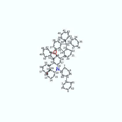 c1ccc(-c2cccc(N(c3ccccc3)c3cc(-c4cccc5c4-c4ccccc4C5(c4ccccc4)c4ccccc4)c4oc5ccccc5c4c3-c3ccccc3)c2)cc1